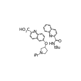 CC(C)(C)NC(=O)c1ccc2ccccc2n1.CC(C)N1CCC(Oc2ccc3nc(C(=O)O)ccc3c2)C1